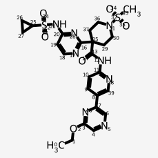 CCOc1cncc(-c2ccc(NC(=O)C3(c4nccc(NS(=O)(=O)C5CC5)n4)CCN(S(C)(=O)=O)CC3)nc2)n1